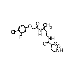 C=C(CCNC(=O)C1CCNOO1)NC(=O)COc1ccc(Cl)c(F)c1